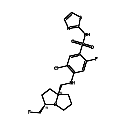 O=S(=O)(Nc1nccs1)c1cc(Cl)c(NC[C@@]23CCCN2[C@@H](CF)CC3)cc1F